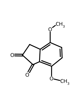 COc1ccc(OC)c2c1CC(=O)C2=O